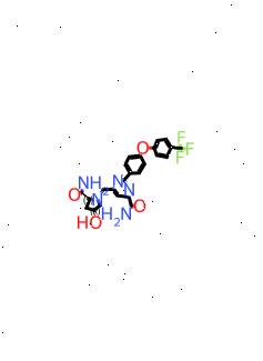 NC(=O)c1cc(CN2C[C@H](O)C[C@H]2C(N)=O)nc(-c2ccc(Oc3ccc(C(F)(F)F)cc3)cc2)n1